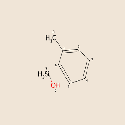 Cc1ccccc1.O[SiH3]